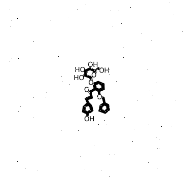 O=C(C=Cc1ccc(O)cc1)c1c(OCc2ccccc2)cccc1O[C@@H]1O[C@H](CO)[C@@H](O)[C@H](O)[C@H]1O